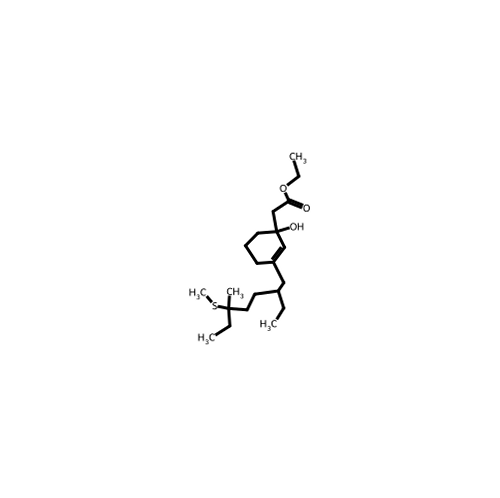 CCOC(=O)CC1(O)C=C(CC(CC)CCC(C)(CC)SC)CCC1